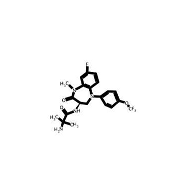 CN1C(=O)[C@H](NC(=O)C(C)(C)N)CN(c2ccc(OC(F)(F)F)cc2)c2ccc(F)cc21